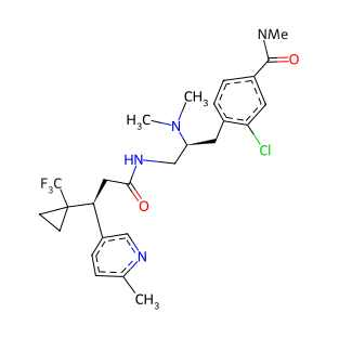 CNC(=O)c1ccc(C[C@@H](CNC(=O)C[C@@H](c2ccc(C)nc2)C2(C(F)(F)F)CC2)N(C)C)c(Cl)c1